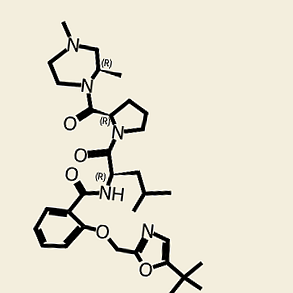 CC(C)C[C@@H](NC(=O)c1ccccc1OCc1ncc(C(C)(C)C)o1)C(=O)N1CCC[C@@H]1C(=O)N1CCN(C)C[C@H]1C